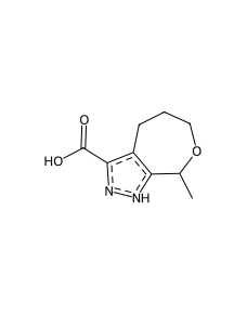 CC1OCCCc2c(C(=O)O)n[nH]c21